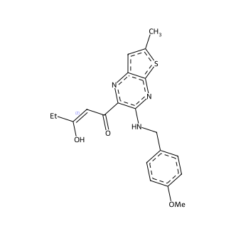 CC/C(O)=C/C(=O)c1nc2cc(C)sc2nc1NCc1ccc(OC)cc1